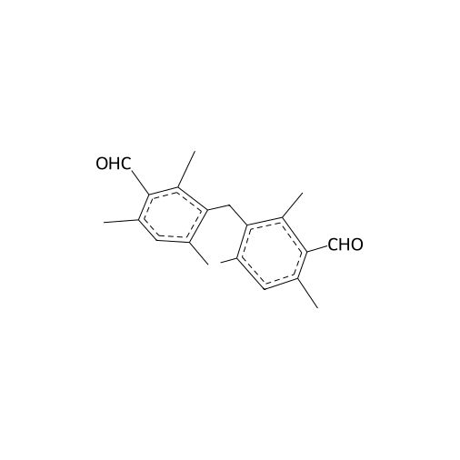 Cc1cc(C)c(Cc2c(C)cc(C)c(C=O)c2C)c(C)c1C=O